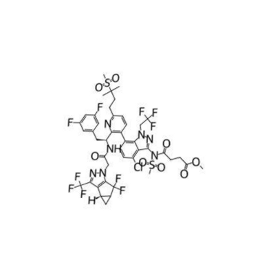 COC(=O)CCC(=O)N(c1nn(CC(F)(F)F)c2c(-c3ccc(CCC(C)(C)S(C)(=O)=O)nc3[C@H](Cc3cc(F)cc(F)c3)NC(=O)Cn3nc(C(F)(F)F)c4c3C(F)(F)C3C[C@H]43)ccc(Cl)c12)S(C)(=O)=O